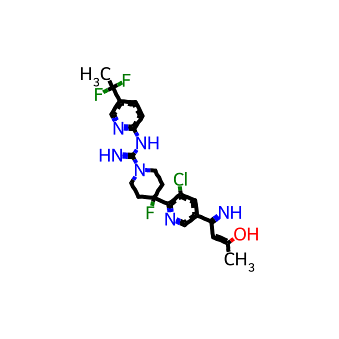 C/C(O)=C/C(=N)c1cnc(C2(F)CCN(C(=N)Nc3ccc(C(C)(F)F)cn3)CC2)c(Cl)c1